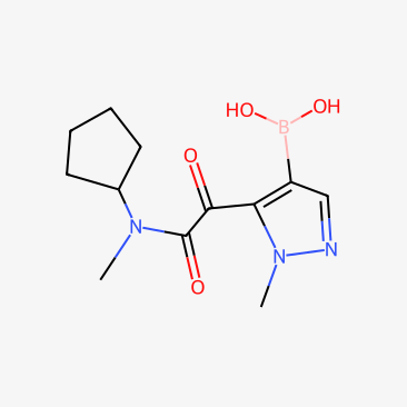 CN(C(=O)C(=O)c1c(B(O)O)cnn1C)C1CCCC1